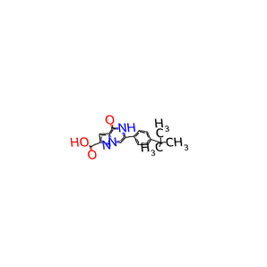 CC(C)(C)c1ccc(-c2cn3nc(C(=O)O)cc3c(=O)[nH]2)cc1